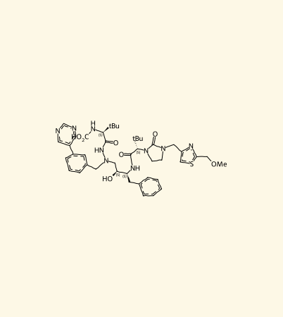 COCc1nc(CN2CCN([C@H](C(=O)N[C@@H](Cc3ccccc3)[C@@H](O)CN(Cc3cccc(-c4cncnc4)c3)NC(=O)[C@@H](NC(=O)O)C(C)(C)C)C(C)(C)C)C2=O)cs1